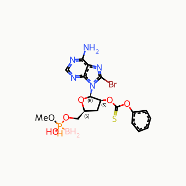 B[PH](O)(OC)OC[C@@H]1C[C@H](OC(=S)Oc2ccccc2)[C@H](n2c(Br)nc3c(N)ncnc32)O1